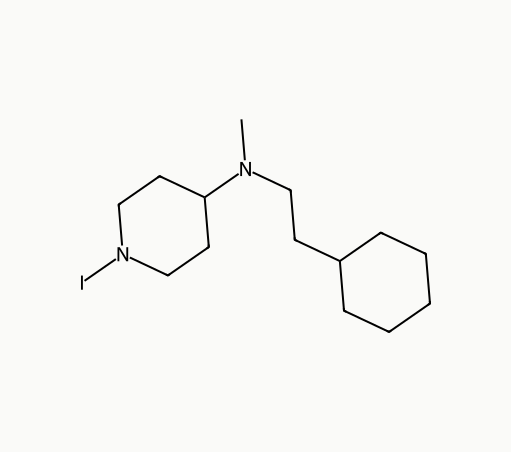 CN(CCC1CCCCC1)C1CCN(I)CC1